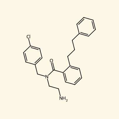 NCCN(Cc1ccc(Cl)cc1)C(=O)c1ccccc1CCCc1ccccc1